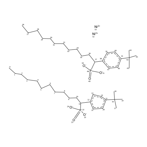 CCCCCCCCCCCC(c1ccc(C(C)(C)C)cc1)P(=O)([O-])[O-].CCCCCCCCCCCC(c1ccc(C(C)(C)C)cc1)P(=O)([O-])[O-].[Ni+2].[Ni+2]